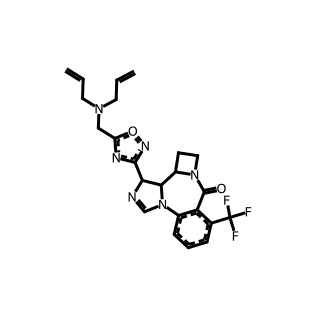 C=CCN(CC=C)Cc1nc(C2N=CN3c4cccc(C(F)(F)F)c4C(=O)N4CCC4C23)no1